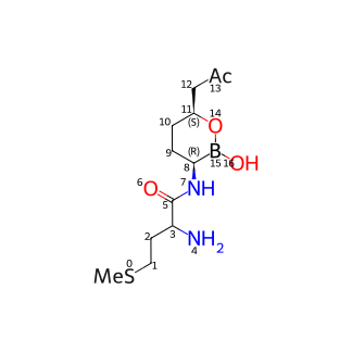 CSCCC(N)C(=O)N[C@H]1CC[C@@H](CC(C)=O)OB1O